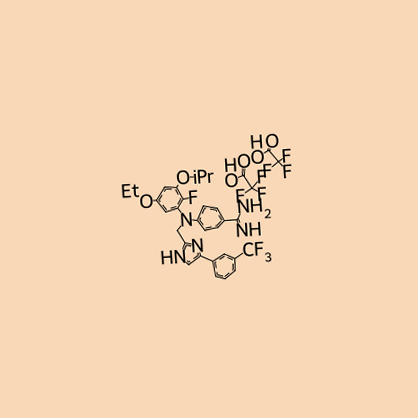 CCOc1cc(OC(C)C)c(F)c(N(Cc2nc(-c3cccc(C(F)(F)F)c3)c[nH]2)c2ccc(C(=N)N)cc2)c1.O=C(O)C(F)(F)F.O=C(O)C(F)(F)F